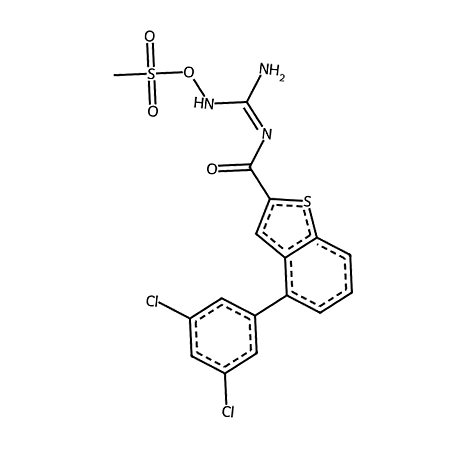 CS(=O)(=O)ONC(N)=NC(=O)c1cc2c(-c3cc(Cl)cc(Cl)c3)cccc2s1